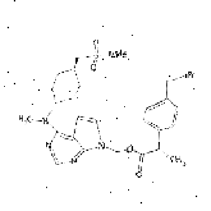 CNS(=O)(=O)C[C@H]1CC[C@H](N(C)c2ncnc3c2ccn3COC(=O)[C@@H](C)c2ccc(CC(C)C)cc2)CC1